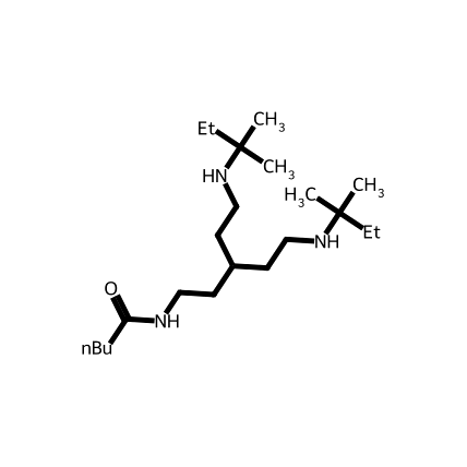 CCCCC(=O)NCCC(CCNC(C)(C)CC)CCNC(C)(C)CC